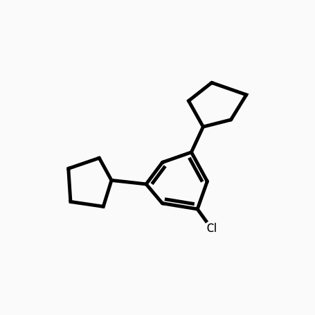 Clc1cc(C2CCCC2)cc(C2CCCC2)c1